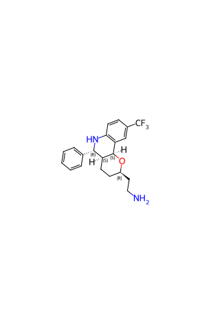 NCC[C@H]1CC[C@@H]2[C@H](O1)c1cc(C(F)(F)F)ccc1N[C@H]2c1ccccc1